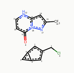 ClCc1cc2cc-2c1.O=c1cc[nH]c2cc(C(F)(F)F)nn12